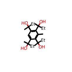 CCC(C)(O)c1cc(C(C)(O)CC)c(C(C)(O)CC)c(C)c1C(C)(O)CC